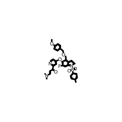 COc1ccc(COCc2c(Oc3ccnc(C(=O)/C=C/N(C)C)c3)c(F)cc3c2ccn3S(=O)(=O)c2ccc(C)cc2)cc1